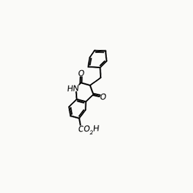 O=C(O)c1ccc2c(c1)C(=O)C(Cc1ccccc1)C(=O)N2